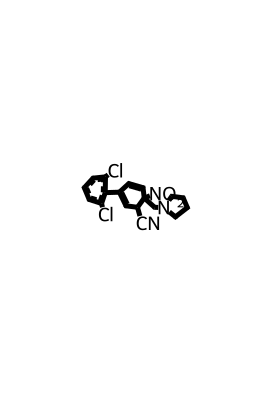 N#CC1C=C(c2c(Cl)cccc2Cl)C=CC1(CN1CCCC1)[N+](=O)[O-]